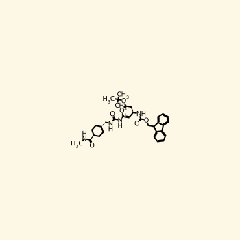 CNC(=O)[C@H]1CC[C@H](CNC(=O)N/N=C/[C@@H](CC(=O)OC(C)(C)C)NC(=O)OCC2c3ccccc3-c3ccccc32)CC1